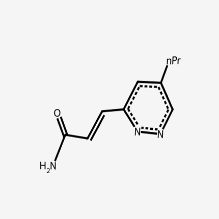 CCCc1cnnc(/C=C/C(N)=O)c1